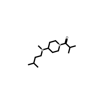 CC(C)CCN(C)C1CCN(C(=O)C(C)C)CC1